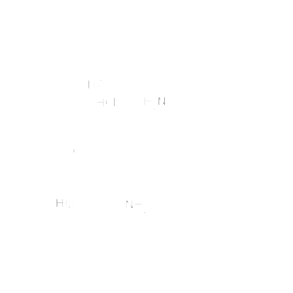 C#CC(N)C=CC(N)C(=O)O.Cl.Cl